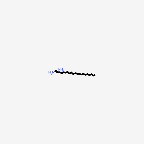 CCCCCCCCCCCCCCCCC=CC(N)C=CN